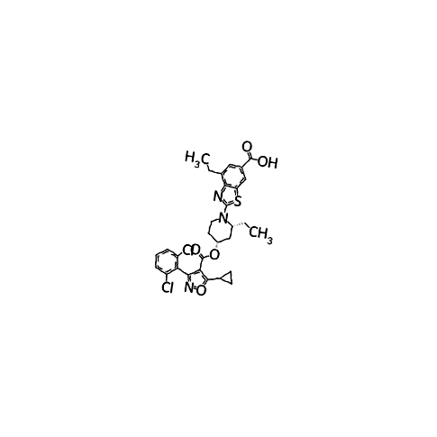 CCc1cc(C(=O)O)cc2sc(N3CC[C@@H](OC(=O)c4c(-c5c(Cl)cccc5Cl)noc4C4CC4)C[C@H]3CC)nc12